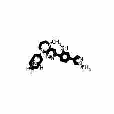 CN1CCCN([C@@H]2CC3CC(F)(F)C[C@@H](C2)N3)c2nnc(-c3ccc(-c4cnn(C)c4)cc3O)cc21